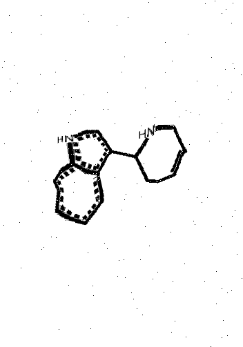 C1=CCC(c2c[nH]c3ccccc23)NC1